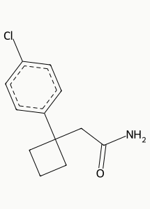 NC(=O)CC1(c2ccc(Cl)cc2)CCC1